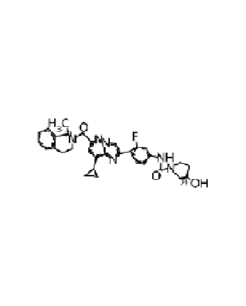 C[C@@H]1c2ccccc2CCN1C(=O)c1cc(C2CC2)c2nc(-c3ccc(NC(=O)N4CC[C@@H](O)C4)cc3F)cn2n1